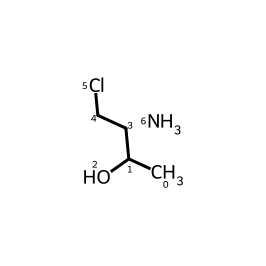 CC(O)CCCl.N